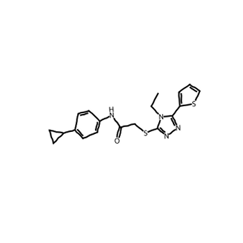 CCn1c(SCC(=O)Nc2ccc(C3CC3)cc2)nnc1-c1cccs1